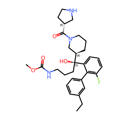 CCc1cccc(-c2c(F)cccc2[C@](O)(CCCNC(=O)OC)[C@@H]2CCCN(C(=O)[C@@H]3CCNC3)C2)c1